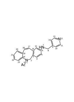 CC(=O)N1Cc2ccc(NCc3ccncc3)cc2/C=C\c2ccccc21